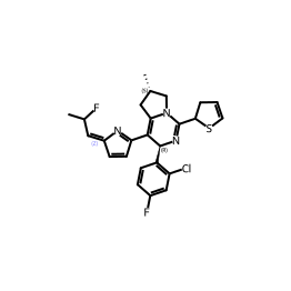 CC(F)/C=C1/C=CC(C2=C3C[C@H](C)CN3C(C3CC=CS3)=N[C@H]2c2ccc(F)cc2Cl)=N1